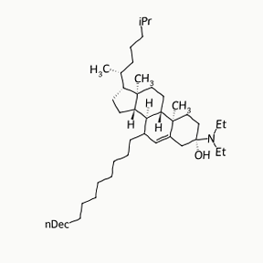 CCCCCCCCCCCCCCCCCCC1C=C2C[C@](O)(N(CC)CC)CC[C@]2(C)[C@H]2CC[C@]3(C)[C@@H]([C@H](C)CCCC(C)C)CC[C@H]3[C@H]12